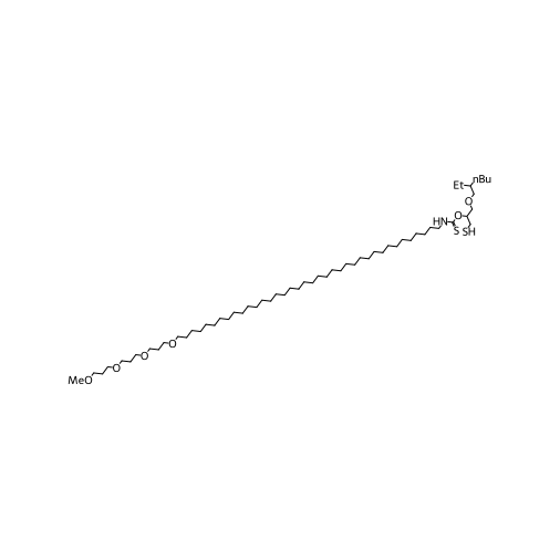 CCCCC(CC)COCC(CS)OC(=S)NCCCCCCCCCCCCCCCCCCCCCCCCCCCCCCCCCCCCCCOCCCOCCCOCCCOC